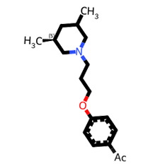 CC(=O)c1ccc(OCCCN2CC(C)C[C@H](C)C2)cc1